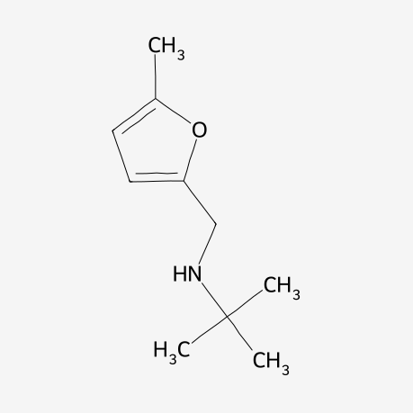 Cc1ccc(CNC(C)(C)C)o1